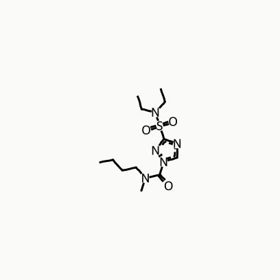 CCCCN(C)C(=O)n1cnc(S(=O)(=O)N(CC)CC)n1